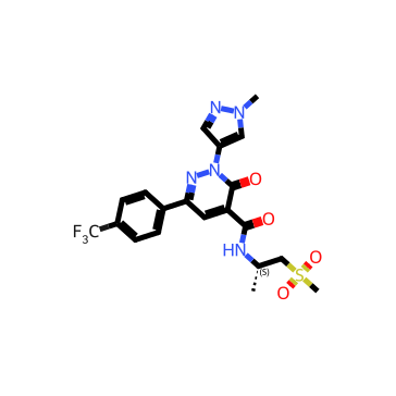 C[C@@H](CS(C)(=O)=O)NC(=O)c1cc(-c2ccc(C(F)(F)F)cc2)nn(-c2cnn(C)c2)c1=O